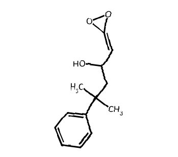 CC(C)(CC(O)C=C1OO1)c1ccccc1